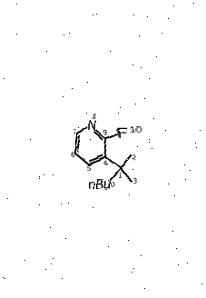 CCCCC(C)(C)c1cccnc1F